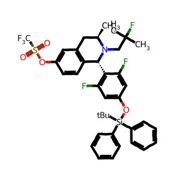 C[C@@H]1Cc2cc(OS(=O)(=O)C(F)(F)F)ccc2[C@@H](c2c(F)cc(O[Si](c3ccccc3)(c3ccccc3)C(C)(C)C)cc2F)N1CC(C)(C)F